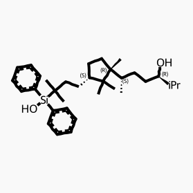 CC(C)[C@H](O)CC[C@H](C)[C@@]1(C)CC[C@@H](CCC(C)(C)[Si](O)(c2ccccc2)c2ccccc2)C1(C)C